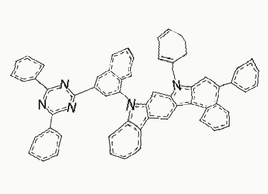 C1=CCCC(n2c3cc4c(cc3c3c5ccccc5c(-c5ccccc5)cc32)c2ccccc2n4-c2cc(-c3nc(-c4ccccc4)nc(-c4ccccc4)n3)cc3ccccc23)=C1